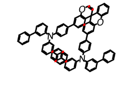 c1ccc(-c2cccc(N(c3ccc(-c4ccc5c(c4)Oc4ccccc4C54c5ccccc5Oc5cc(-c6ccc(N(c7cccc(-c8ccccc8)c7)c7cccc(-c8ccccc8)c7)cc6)ccc54)cc3)c3cccc(-c4ccccc4)c3)c2)cc1